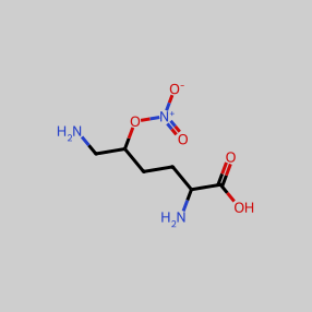 NCC(CCC(N)C(=O)O)O[N+](=O)[O-]